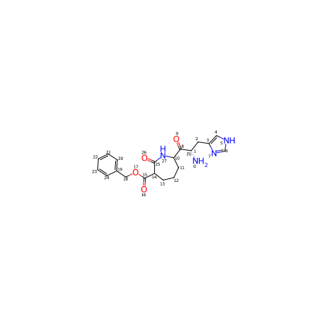 N[C@@H](Cc1c[nH]cn1)C(=O)C1CCCC(C(=O)OCc2ccccc2)C(=O)N1